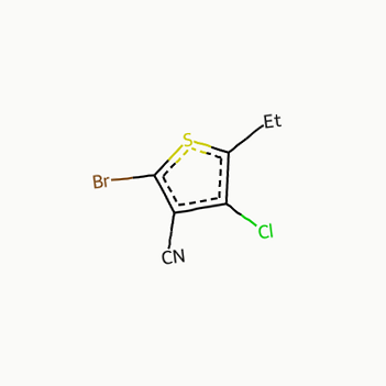 CCc1sc(Br)c(C#N)c1Cl